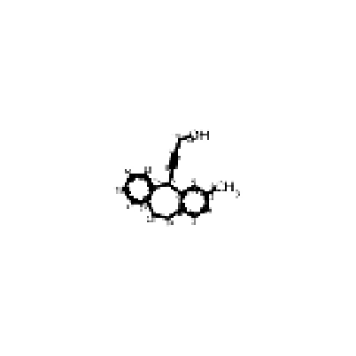 Cc1ccc2c(c1)C(C#CCO)c1ccccc1CC2